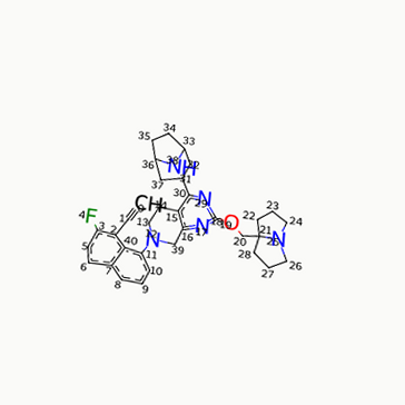 C#Cc1c(F)ccc2cccc(N3CCc4c(nc(OCC56CCCN5CCC6)nc4C4CC5CCC(C4)N5)C3)c12